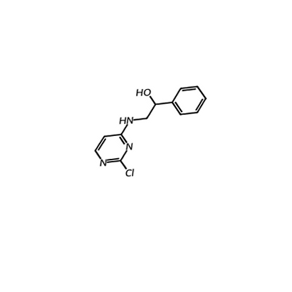 OC(CNc1ccnc(Cl)n1)c1ccccc1